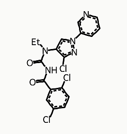 CCN(C(=O)NC(=O)c1cc(Cl)ccc1Cl)c1cn(-c2cccnc2)nc1Cl